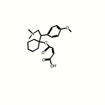 COc1ccc(C(CN(C)C)C2(OC(=O)/C=C\C(=O)O)CCCCC2)cc1